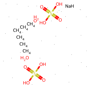 C.C.C.C.C.C.O.O.O=S(=O)(O)O.O=S(=O)(O)O.[NaH]